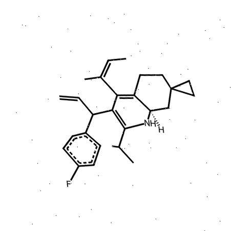 C=CC(C1=C(C(C)C)N[C@@H]2CC3(CCC2=C1/C(C)=C\C)CC3)c1ccc(F)cc1